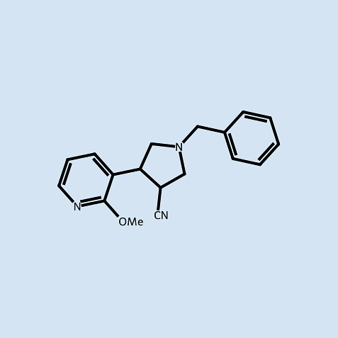 COc1ncccc1C1CN(Cc2ccccc2)CC1C#N